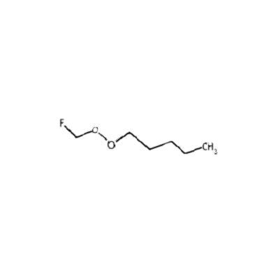 CCCCCOOCF